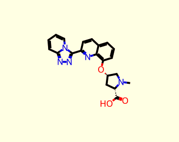 CN1C[C@@H](Oc2cccc3ccc(-c4nnc5ccccn45)nc23)C[C@H]1C(=O)O